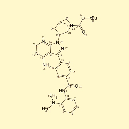 CN(C)c1ccccc1NC(=O)c1ccc(-c2nn(C3CC4CC3N(C(=O)OC(C)(C)C)C4)c3ncnc(N)c23)cc1